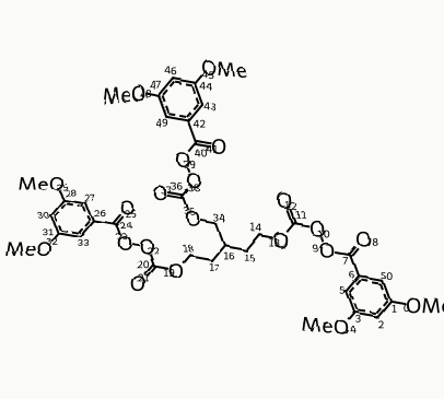 COc1cc(OC)cc(C(=O)OOC(=O)OCCC(CCOC(=O)OOC(=O)c2cc(OC)cc(OC)c2)COC(=O)OOC(=O)c2cc(OC)cc(OC)c2)c1